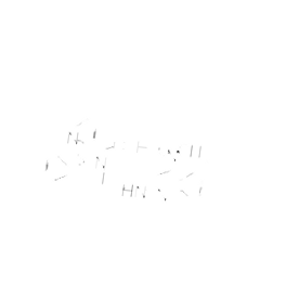 CN(C)c1cc(N[C@H]2CC[C@@H](NC(=O)c3cccnc3Sc3ccccc3)CC2)nc2ccccc12